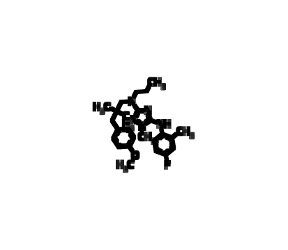 CCCN(CC(C)(C)Cc1ccc(OC)cc1)c1nc(Nc2ccc(F)cc2C)n(C)n1